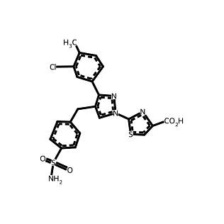 Cc1ccc(-c2nn(-c3nc(C(=O)O)cs3)cc2Cc2ccc(S(N)(=O)=O)cc2)cc1Cl